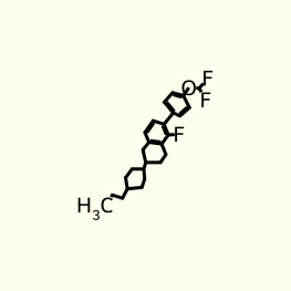 CCCC1CCC(C2CCc3c(ccc(-c4ccc(OC(F)F)cc4)c3F)C2)CC1